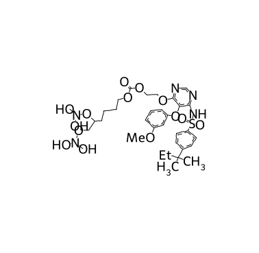 CCC(C)(C)c1ccc(S(=O)(=O)Nc2ncnc(OCCOC(=O)OCCCCC(CON(O)O)ON(O)O)c2Oc2cccc(OC)c2)cc1